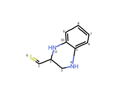 S=CC1CNc2ccccc2N1